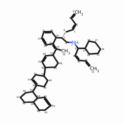 C=C/C=C\C[C@H](CNC(/C=C\C=C)C1CCCCC1)C1C=CC=C/C1=C(/C)C1C=CC(C2CC=C(C3CCCC4CCC=CC43)CC2)CC1